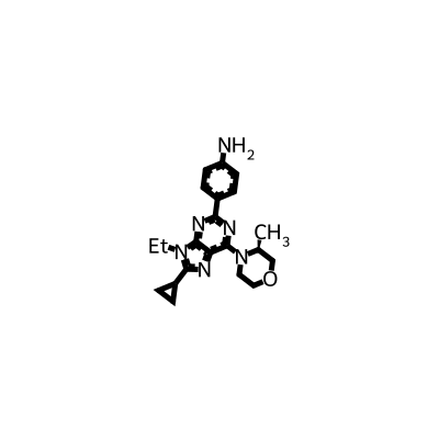 CCn1c(C2CC2)nc2c(N3CCOC[C@@H]3C)nc(-c3ccc(N)cc3)nc21